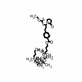 CCCC[Si](C)(C)O[Si](C)(C)O[Si](C)(C)O[Si](C)(C)O[Si](C)(C)CCCOC(=O)c1ccc(CCC(SC(=S)OCC)N2CCCC2=O)cc1